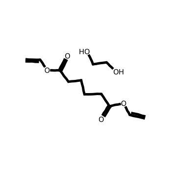 C=COC(=O)CCCCC(=O)OC=C.OCCO